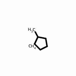 C.CC1CCCC1